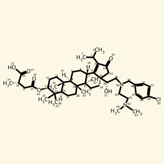 CC(C)C1=C2[C@H]3CC[C@@H]4[C@@]5(C)CC[C@H](OC(=O)C[C@H](C)C(=O)O)C(C)(C)[C@@H]5CC[C@@]4(C)[C@]3(C)CC[C@@]2([C@@H](O)CN(CCN(C)C)Cc2ccc(Cl)cc2)CC1=O